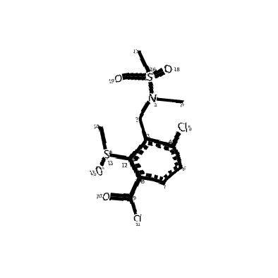 CN(Cc1c(Cl)ccc(C(=O)Cl)c1[S+](C)[O-])S(C)(=O)=O